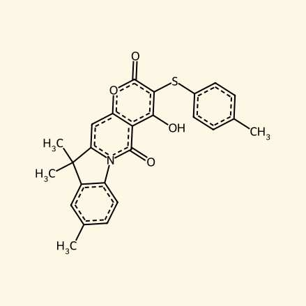 Cc1ccc(Sc2c(O)c3c(=O)n4c(cc3oc2=O)C(C)(C)c2cc(C)ccc2-4)cc1